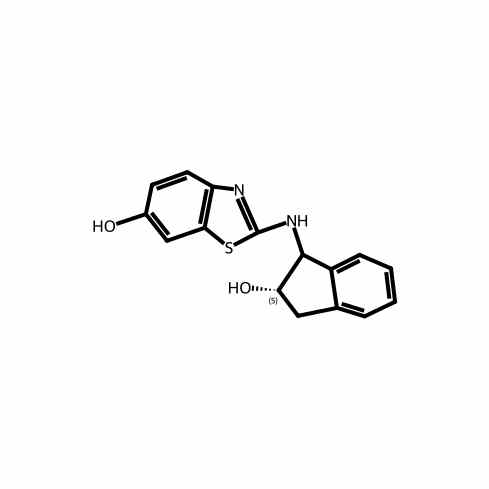 Oc1ccc2nc(NC3c4ccccc4C[C@@H]3O)sc2c1